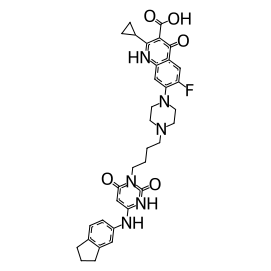 O=C(O)c1c(C2CC2)[nH]c2cc(N3CCN(CCCCn4c(=O)cc(Nc5ccc6c(c5)CCC6)[nH]c4=O)CC3)c(F)cc2c1=O